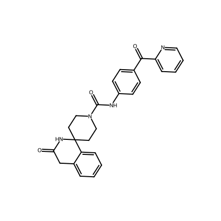 O=C1Cc2ccccc2C2(CCN(C(=O)Nc3ccc(C(=O)c4ccccn4)cc3)CC2)N1